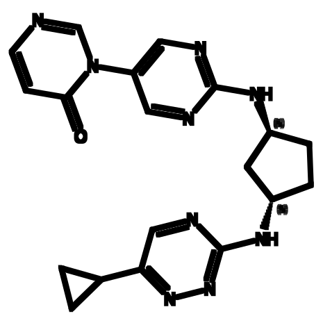 O=c1ccncn1-c1cnc(N[C@H]2CC[C@H](Nc3ncc(C4CC4)nn3)C2)nc1